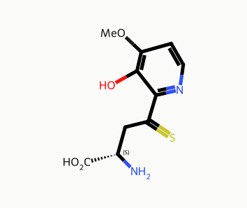 COc1ccnc(C(=S)C[C@H](N)C(=O)O)c1O